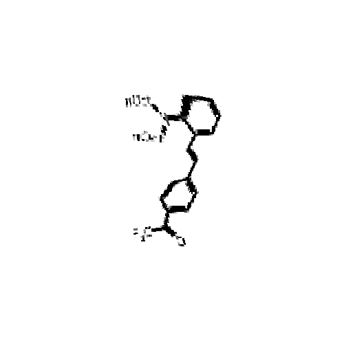 CCCCCCCCN(CCCCCCCC)c1ccccc1C=Cc1ccc(C(=O)C(F)(F)F)cc1